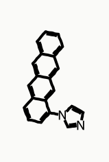 c1ccc2cc3cc4c(-n5ccnc5)cccc4cc3cc2c1